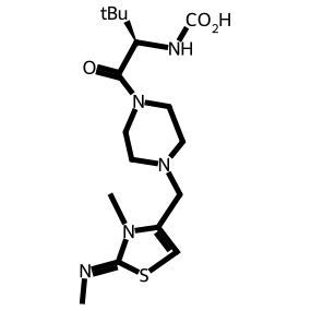 C/N=c1\scc(CN2CCN(C(=O)[C@H](NC(=O)O)C(C)(C)C)CC2)n1C